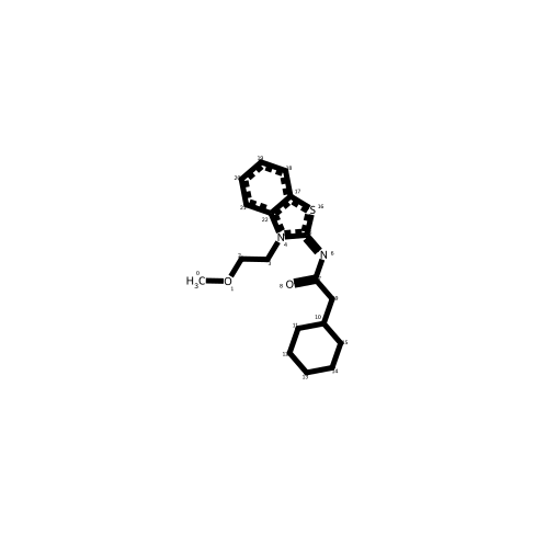 COCCn1c(=NC(=O)CC2CCCCC2)sc2ccccc21